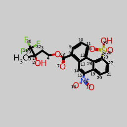 CC(O)(CCOC(=O)c1cccc2c1cc([N+](=O)[O-])c1cccc(S(=O)(=O)O)c12)C(F)(F)F